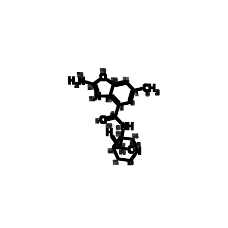 Cc1cc(C(=O)N[C@@H]2CN3CCC2CC3)c2nc(N)oc2c1